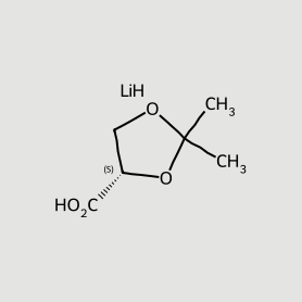 CC1(C)OC[C@@H](C(=O)O)O1.[LiH]